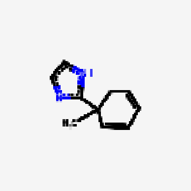 CC1(c2ncc[nH]2)C=CC=CC1